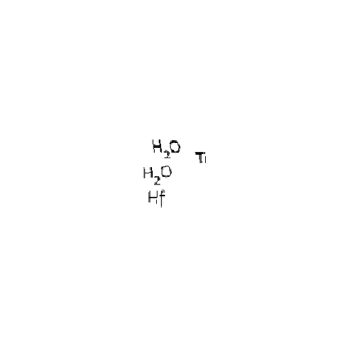 O.O.[Hf].[Ti]